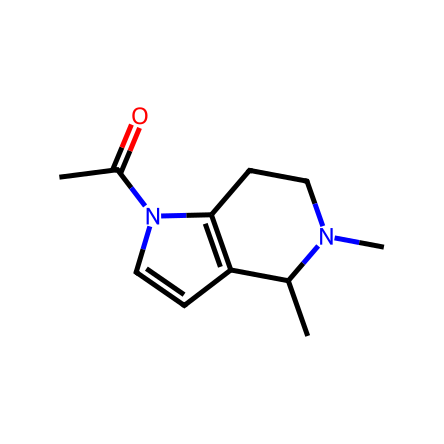 CC(=O)n1ccc2c1CCN(C)C2C